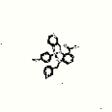 COc1ccc(S(=O)(=O)N(Cc2cccnc2)c2c(OCc3cccnc3)cccc2C(=O)O)cc1